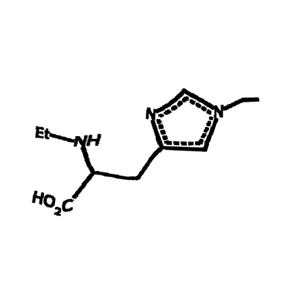 CCNC(Cc1cn(C)cn1)C(=O)O